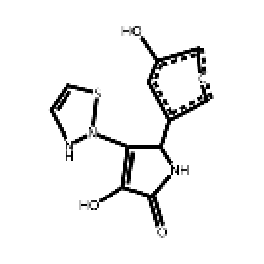 O=C1NC(c2cccc(O)c2)C(N2NC=CS2)=C1O